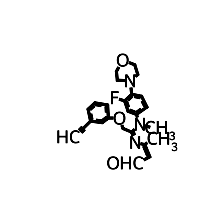 C#Cc1cccc(OC/C(=N/C(C)=C\C=O)N(C)c2ccc(N3CCOCC3)c(F)c2)c1